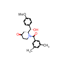 COc1ccc([C@H](O)[C@H]2CC(=O)CCN2C(=O)c2cc(C)cc(C)c2)cc1